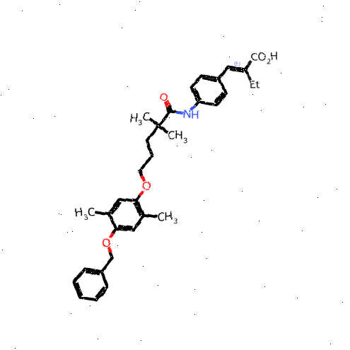 CC/C(=C\c1ccc(NC(=O)C(C)(C)CCCOc2cc(C)c(OCc3ccccc3)cc2C)cc1)C(=O)O